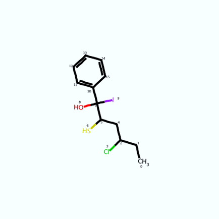 CCC(Cl)CC(S)C(O)(I)c1ccccc1